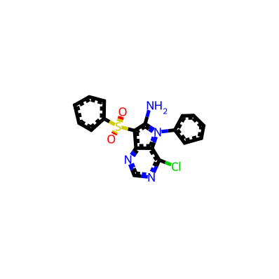 Nc1c(S(=O)(=O)c2ccccc2)c2ncnc(Cl)c2n1-c1ccccc1